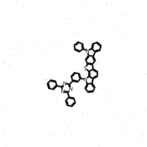 c1ccc(-c2nc(-c3ccccc3)nc(-c3cccc(-n4c5ccccc5c5ccc6c7cc8c9ccccc9n(-c9ccccc9)c8cc7sc6c54)c3)n2)cc1